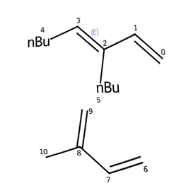 C=C/C(=C/CCCC)CCCC.C=CC(=C)C